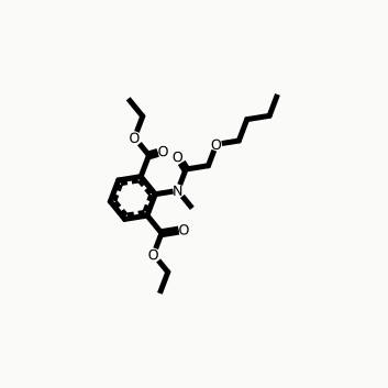 CCCCOCC(=O)N(C)c1c(C(=O)OCC)cccc1C(=O)OCC